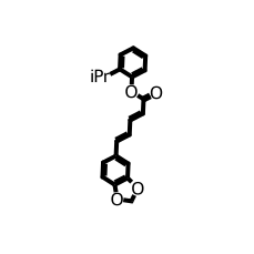 CC(C)c1ccccc1OC(=O)C=CC=Cc1ccc2c(c1)OCO2